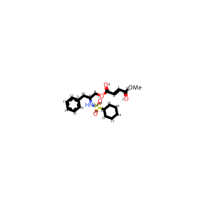 COC(=O)/C=C/C(=O)OCC(Cc1ccccc1)NS(=O)(=O)C1CCCCC1